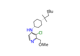 COCc1nccc(N[C@H]2CC[C@@H](C(C)(C)CC(C)(C)C)CC2)c1Cl